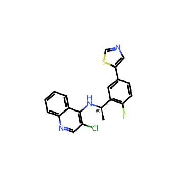 C[C@@H](Nc1c(Cl)cnc2ccccc12)c1cc(-c2cncs2)ccc1F